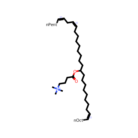 CCCCC/C=C\C/C=C\CCCCCCCCC(CCCCCCCC/C=C\CCCCCCCC)OC(=O)CCC[N+](C)(C)C